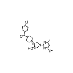 Cc1cc(C(C)C)nc(N2C[C@@H](O)[C@H](N3CCN(C(=O)c4ccc(Cl)cc4)CC3)C2)n1